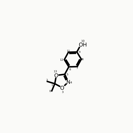 CC1(C)ON=C(c2ccc(O)cc2)O1